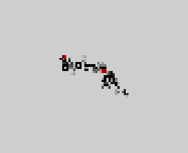 CCC(=O)N1c2ccccc2[C@H](Nc2ccc(NC(=O)CCCC(=O)Nc3ccc(N[C@@H]4C[C@H](C)N(C(=O)CC)c5cc(CCCN)ccc54)cc3)cc2)C[C@@H]1C